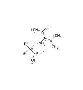 CC(C)C(N)C(N)=O.O=C(O)C(F)(F)F